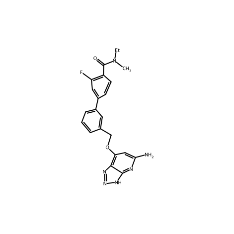 CCN(C)C(=O)c1ccc(-c2cccc(COc3cc(N)nc4[nH]nnc34)c2)cc1F